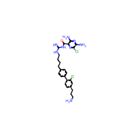 N=C(NCCCCc1ccc(-c2ccc(CCCN)cc2Cl)cc1)NC(=O)c1nc(Cl)c(N)nc1N